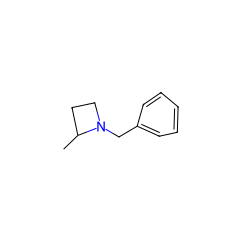 CC1CCN1Cc1ccccc1